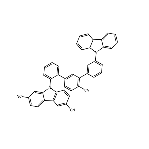 N#Cc1ccc2c(c1)c1ccc(C#N)cc1n2-c1ccccc1-c1ccc(C#N)c(-c2cccc(N3c4ccccc4C4C=CC=CC43)c2)c1